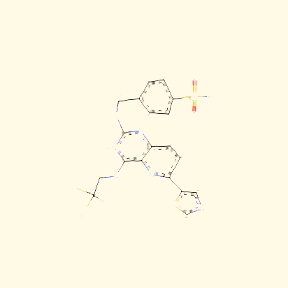 C[C@@H](Nc1nc(NCC(F)(F)F)c2nc(-c3cncs3)ccc2n1)c1ccc(S(N)(=O)=O)cc1